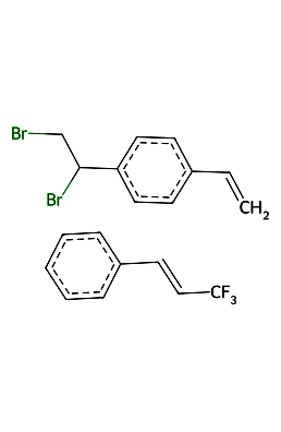 C=Cc1ccc(C(Br)CBr)cc1.FC(F)(F)C=Cc1ccccc1